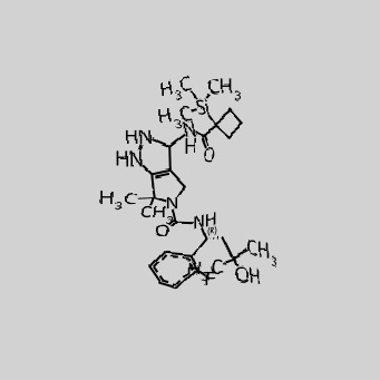 CC(C)(O)C[C@@H](NC(=O)N1CC2=C(NNC2NC(=O)C2([Si](C)(C)C)CCC2)C1(C)C)c1ccccc1F